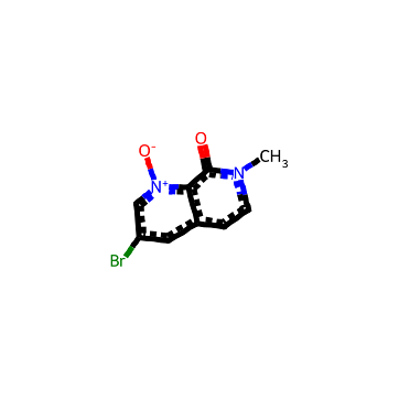 Cn1ccc2cc(Br)c[n+]([O-])c2c1=O